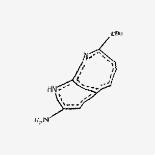 CC(C)(C)c1ccc2cc(N)[nH]c2n1